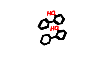 Oc1ccccc1-c1ccccc1.Oc1ccccc1C1CCCCC1